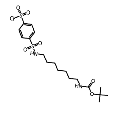 CC(C)(C)OC(=O)NCCCCCCCNS(=O)(=O)c1ccc(S(=O)(=O)Cl)cc1